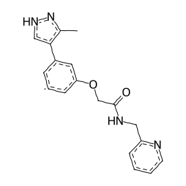 Cc1n[nH]cc1-c1c[c]cc(OCC(=O)NCc2ccccn2)c1